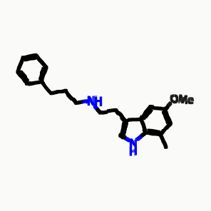 COc1cc(C)c2[nH]cc(CCNCCCc3ccccc3)c2c1